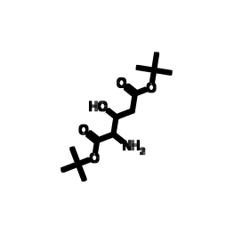 CC(C)(C)OC(=O)CC(O)C(N)C(=O)OC(C)(C)C